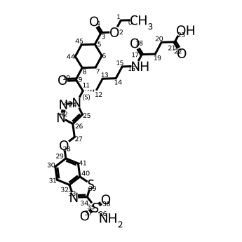 CCOC(=O)C1CCC(C(=O)[C@H](CCCCNC(=O)CCC(=O)O)n2cc(COc3ccc4nc(S(N)(=O)=O)sc4c3)nn2)CC1